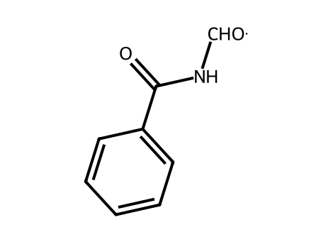 O=[C]NC(=O)c1ccccc1